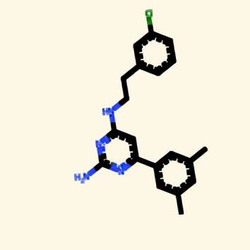 Cc1cc(C)cc(-c2cc(NCCc3cccc(Cl)c3)nc(N)n2)c1